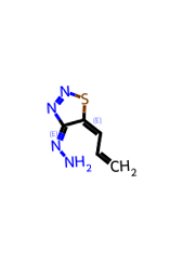 C=C/C=C1/SN=N/C1=N/N